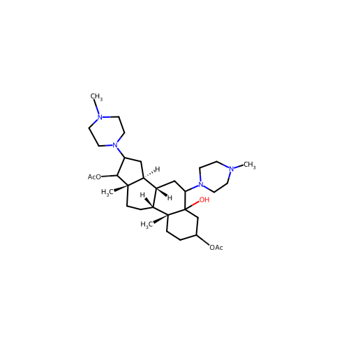 CC(=O)OC1CC[C@]2(C)[C@@H]3CC[C@]4(C)C(OC(C)=O)C(N5CCN(C)CC5)C[C@H]4[C@@H]3CC(N3CCN(C)CC3)C2(O)C1